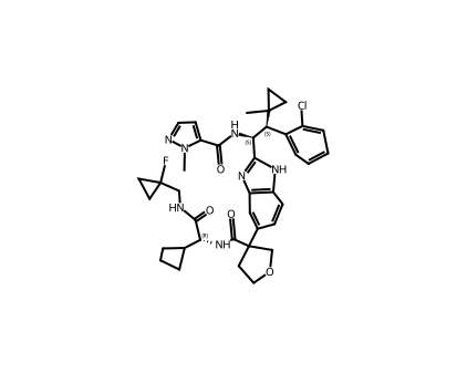 Cn1nccc1C(=O)N[C@H](c1nc2cc(C3(C(=O)N[C@@H](C(=O)NCC4(F)CC4)C4CCC4)CCOC3)ccc2[nH]1)[C@H](c1ccccc1Cl)C1(C)CC1